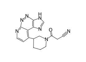 N#CCC(=O)N1CCCC(c2ccnc3nnc4[nH]cnc4c23)C1